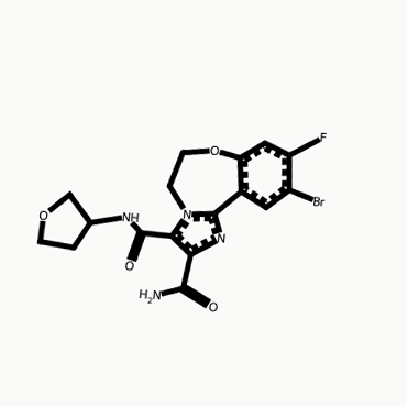 NC(=O)c1nc2n(c1C(=O)NC1CCOC1)CCOc1cc(F)c(Br)cc1-2